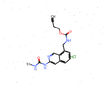 C#CCCOC(=O)NCc1cccc2cc(NC(=O)NCC)ncc12.Cl